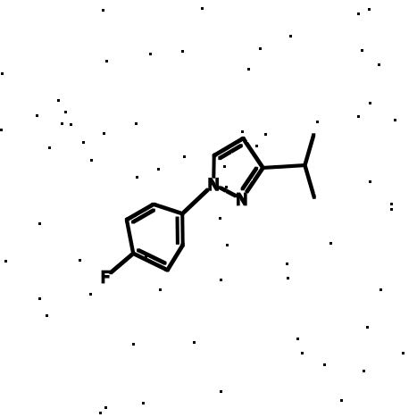 CC(C)c1ccn(-c2ccc(F)cc2)n1